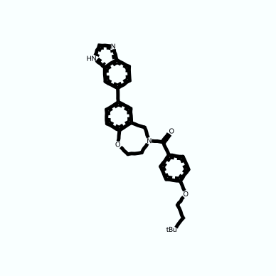 CC(C)(C)[CH]COc1ccc(C(=O)N2CCOc3ccc(-c4ccc5nc[nH]c5c4)cc3C2)cc1